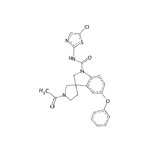 CC(=O)N1CCC2(C1)CN(C(=O)Nc1ncc(Cl)s1)c1ccc(Oc3ccccc3)cc12